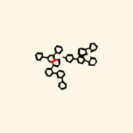 C1=C(c2ccc(-c3ccc(N(c4ccc(-c5ccccc5-c5cccc6c5oc5ccccc56)cc4)c4ccccc4-c4cccc(-c5ccccc5)c4)cc3)cc2)C(n2c3ccccc3c3ccccc32)=CCC1